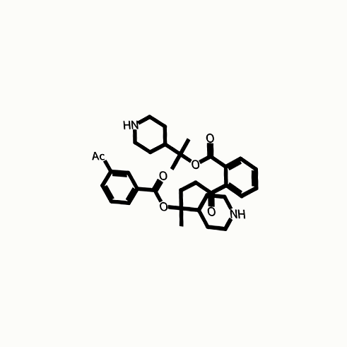 CC(=O)c1cccc(C(=O)OC(C)(CCC(=O)c2ccccc2C(=O)OC(C)(C)C2CCNCC2)C2CCNCC2)c1